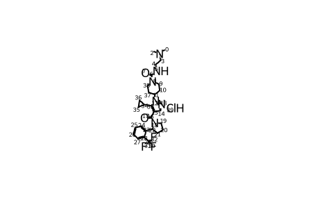 CN(C)CCNC(=O)N1CCC(n2ncc(C(=O)N3CCCC3c3ccccc3C(F)(F)F)c2C2CC2)CC1.Cl